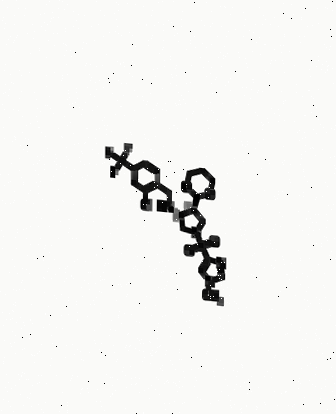 Cn1cnc(S(=O)(=O)N2C[C@H](NCc3ccc(C(F)(F)F)cc3Cl)[C@@H](C3OCCCO3)C2)c1